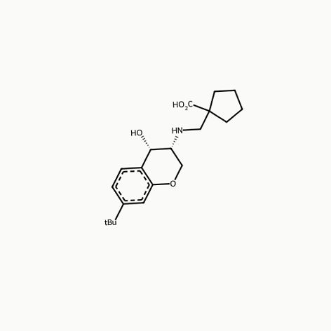 CC(C)(C)c1ccc2c(c1)OC[C@@H](NCC1(C(=O)O)CCCC1)[C@H]2O